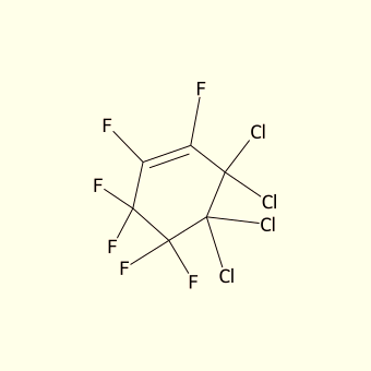 FC1=C(F)C(Cl)(Cl)C(Cl)(Cl)C(F)(F)C1(F)F